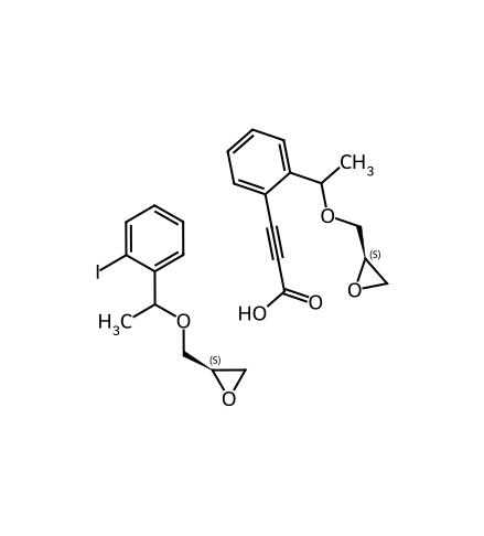 CC(OC[C@H]1CO1)c1ccccc1C#CC(=O)O.CC(OC[C@H]1CO1)c1ccccc1I